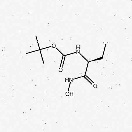 CC[C@H](NC(=O)OC(C)(C)C)C(=O)NO